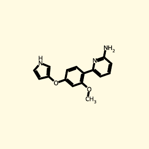 COc1cc(Oc2cc[nH]c2)ccc1-c1cccc(N)n1